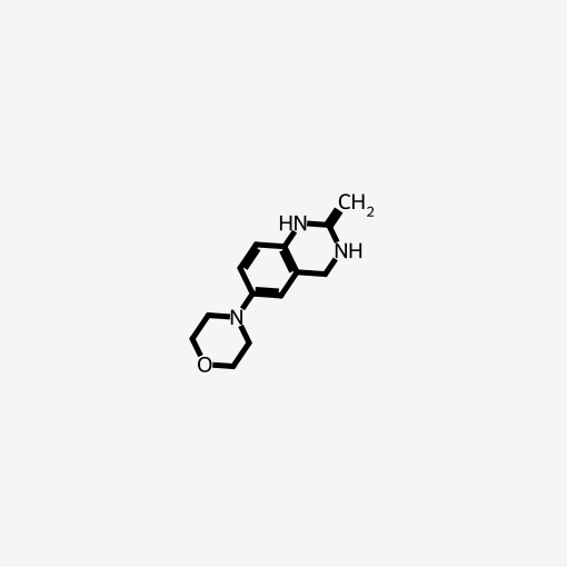 C=C1NCc2cc(N3CCOCC3)ccc2N1